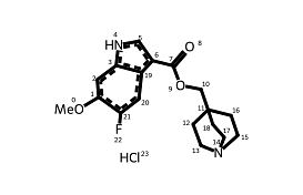 COc1cc2[nH]cc(C(=O)OCC34CCN(CC3)CC4)c2cc1F.Cl